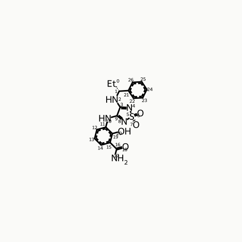 CC[C@@H](NC1=NS(=O)(=O)N=C1Nc1cccc(C(N)=O)c1O)c1ccccc1